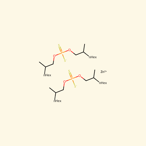 CCCCCCC(C)COP(=S)([S-])OCC(C)CCCCCC.CCCCCCC(C)COP(=S)([S-])OCC(C)CCCCCC.[Zn+2]